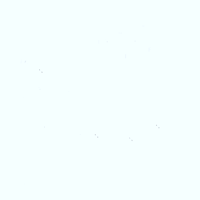 CCCCn1c(=O)c2c(OCCOCC)c(C(=O)N3CCN(c4ccccn4)CC3)sc2c2ccccc21.O=C(O)C(F)(F)F